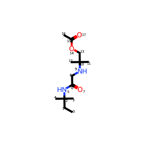 CCC(C)(C)NC(=O)CNC(C)(C)COC(C)=O